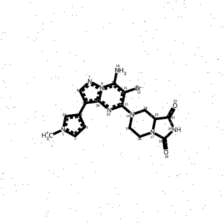 Cn1ccc(-c2cnn3c(N)c(Br)c(N4CCN5C(=O)NC(=O)C5C4)nc23)c1